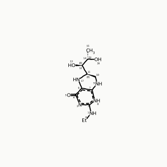 CCNc1nc(=O)c2c([nH]1)NC[C@H]([C@@H](O)[C@H](C)O)N2